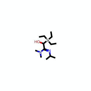 CC[Si](CC)(CC)C(O)C(=NC(C)C)N(C)C